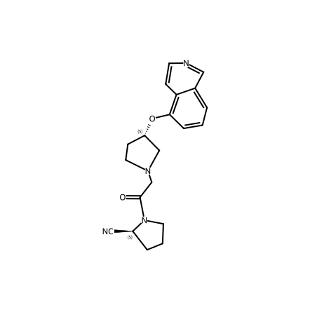 N#C[C@@H]1CCCN1C(=O)CN1CC[C@H](Oc2cccc3cnccc23)C1